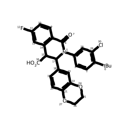 CC(C)(C)c1ccc(N2C(=O)c3ccc(F)cc3C(C(=O)O)C2c2ccc3c(c2)OCCO3)cc1Cl